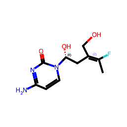 C/C(F)=C(/CO)C[C@@H](O)n1ccc(N)nc1=O